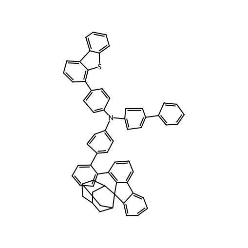 c1ccc(-c2ccc(N(c3ccc(-c4ccccc4-c4cccc5c4C4(c6ccccc6-5)C5CC6CC(C5)CC4C6)cc3)c3ccc(-c4cccc5c4sc4ccccc45)cc3)cc2)cc1